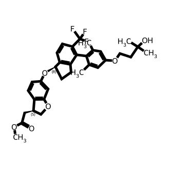 COC(=O)C[C@@H]1COc2cc(O[C@@H]3CCc4c3ccc(C(F)(F)F)c4-c3c(C)cc(OCCC(C)(C)O)cc3C)ccc21